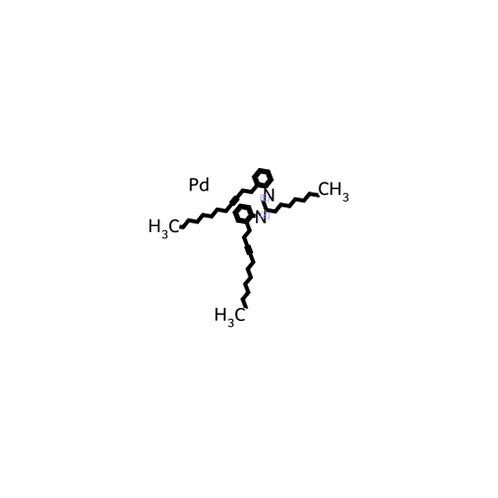 CCCCCCCCC#CCCc1ccccc1/N=C(\C=N\c1ccccc1CCC#CCCCCCCCC)CCCCCCCC.[Pd]